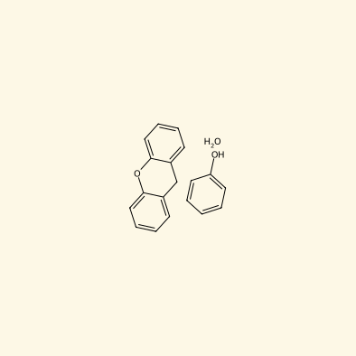 O.Oc1ccccc1.c1ccc2c(c1)Cc1ccccc1O2